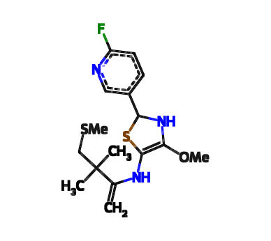 C=C(NC1=C(OC)NC(c2ccc(F)nc2)S1)C(C)(C)CSC